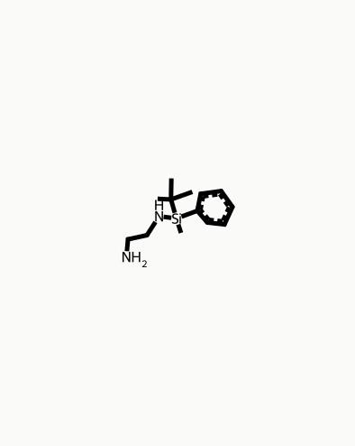 CC(C)(C)[Si](C)(NCCN)c1ccccc1